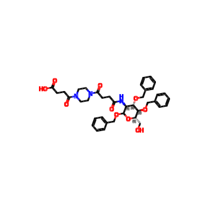 O=C(O)CCC(=O)N1CCN(C(=O)CCC(=O)N[C@@H]2C(OCc3ccccc3)O[C@@H](CO)[C@H](OCc3ccccc3)[C@H]2OCc2ccccc2)CC1